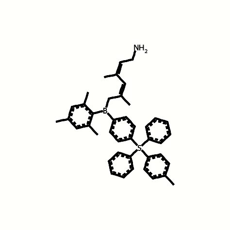 CC(=C/CN)/C=C(/C)CB(c1ccc(S(c2ccccc2)(c2ccccc2)c2ccc(C)cc2)cc1)c1c(C)cc(C)cc1C